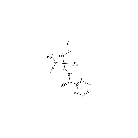 CC(C)C(C)(COC(=O)c1ccccc1)NC=O